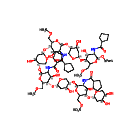 CCCCCO[C@@H]1OC(COS(=O)(=O)O)[C@@H](O[C@H]2C[C@H](O)[C@@H](O[C@@H]3OC(COS(=O)(=O)O)[C@@H](O[C@H]4C[C@H](O)[C@@H](O[C@@H]5OC(COS(=O)(=O)O)[C@@H](O[C@H]6C[C@H](O)[C@@H](O[C@@H]7OC(COS(=O)(=O)O)[C@@H](O[C@H]8C[C@H](O)[C@H](O)CO8)[C@H](O)C7NC(=O)C7CCCC7)CO6)[C@H](O)C5NC(=O)C5CCCC5)CO4)[C@H](O)C3NC(=O)C3CCCC3)CO2)[C@H](O)C1NC(=O)C1CCCC1